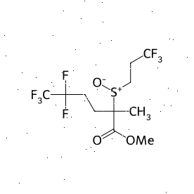 COC(=O)C(C)(CCC(F)(F)C(F)(F)F)[S+]([O-])CCC(F)(F)F